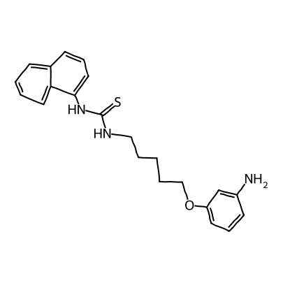 Nc1cccc(OCCCCCNC(=S)Nc2cccc3ccccc23)c1